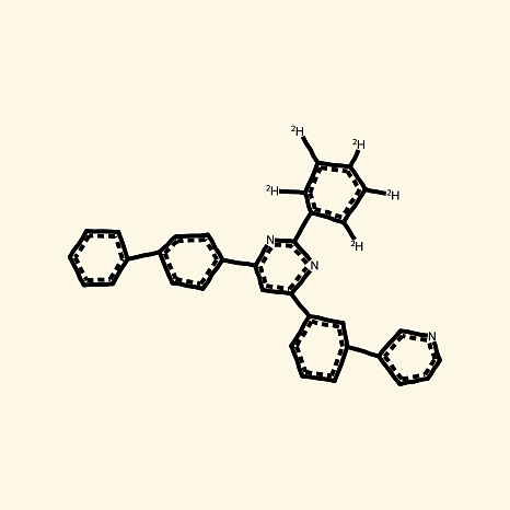 [2H]c1c([2H])c([2H])c(-c2nc(-c3ccc(-c4ccccc4)cc3)cc(-c3cccc(-c4cccnc4)c3)n2)c([2H])c1[2H]